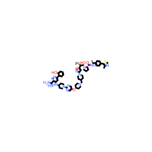 Cc1ncsc1-c1ccc([C@H](C)NC(=O)[C@@H]2CCCN2C(O)C(c2cc(N3CCC(CN4CCC(Oc5cnc(N6CCC(Nc7cc(-c8ccccc8O)nnc7C(=N)N)CC6)nc5)CC4)CC3)no2)C(C)C)cc1